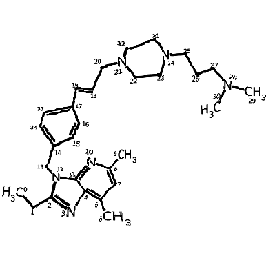 CCc1nc2c(C)cc(C)nc2n1Cc1ccc(C=CCN2CCN(CCCN(C)C)CC2)cc1